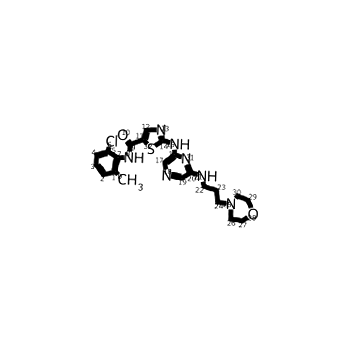 Cc1cccc(Cl)c1NC(=O)c1cnc(Nc2cncc(NCCCN3CCOCC3)n2)s1